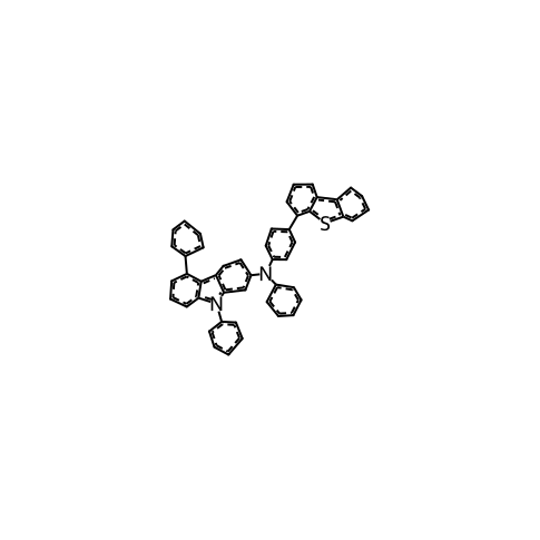 c1ccc(-c2cccc3c2c2ccc(N(c4ccccc4)c4ccc(-c5cccc6c5sc5ccccc56)cc4)cc2n3-c2ccccc2)cc1